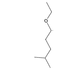 CCO[CH]CCC(C)C